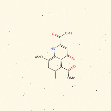 COC(=O)C1=c2c(=O)cc(C(=O)OC)[nH]c2=C(OC)CC1C